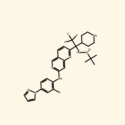 CC(C)(C)[S+]([O-])NC(c1ccc2cnc(Nc3ccc(-n4cccn4)cc3F)cc2n1)(C1CCNCC1)C(F)(F)F